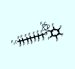 Fc1c(F)c(F)c([Si](OC(F)(F)F)(OC(F)(F)F)OC(F)(F)C(F)(F)C(F)(F)C(F)(F)C(F)(F)C(F)(F)C(F)(F)C(F)(F)F)c(F)c1F